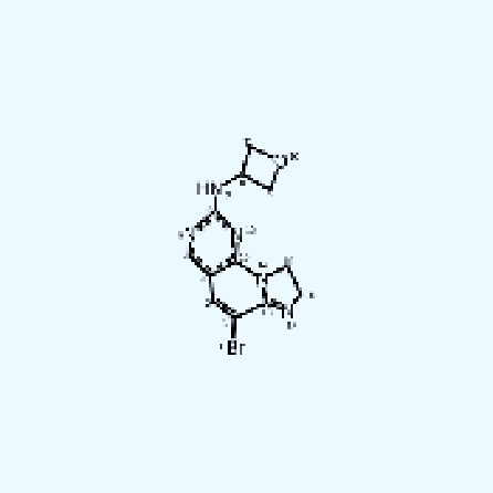 BrC1=Cc2cnc(NC3COC3)nc2N2CCN=C12